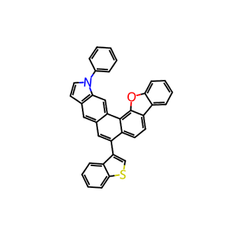 c1ccc(-n2ccc3cc4cc(-c5csc6ccccc56)c5ccc6c7ccccc7oc6c5c4cc32)cc1